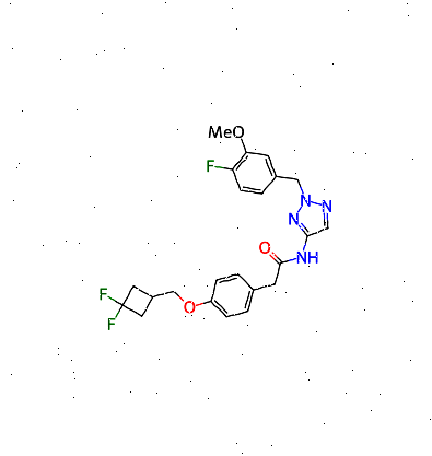 COc1cc(Cn2ncc(NC(=O)Cc3ccc(OCC4CC(F)(F)C4)cc3)n2)ccc1F